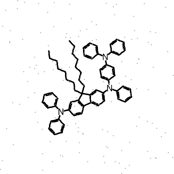 CCCCCCCCC1(CCCCCCCC)c2cc(N(c3ccccc3)c3ccccc3)ccc2-c2ccc(N(c3ccccc3)c3ccc(N(c4ccccc4)c4ccccc4)cc3)cc21